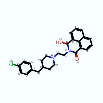 O=C1c2cccc3cccc(c23)C(O)N1CCN1CCC(Cc2ccc(Cl)cc2)CC1